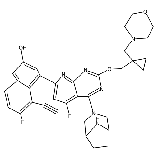 C#Cc1c(F)ccc2cc(O)cc(-c3cc(F)c4c(N5CC6CCC(C5)N6)nc(OCC5(CN6CCOCC6)CC5)nc4n3)c12